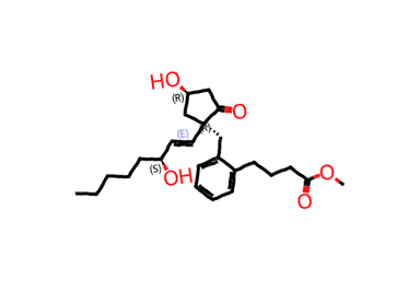 CCCCC[C@H](O)/C=C/[C@@]1(Cc2ccccc2CCCC(=O)OC)C[C@@H](O)CC1=O